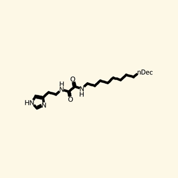 CCCCCCCCCCCCCCCCCCNC(=O)C(=O)NCCc1c[nH]cn1